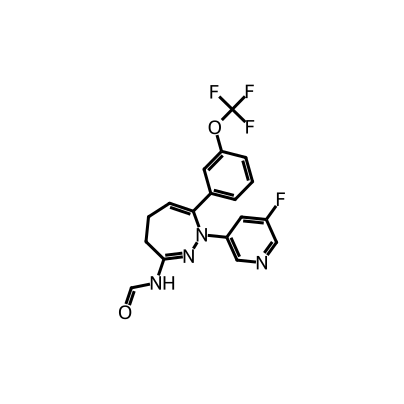 O=CNC1=NN(c2cncc(F)c2)C(c2cccc(OC(F)(F)F)c2)=CCC1